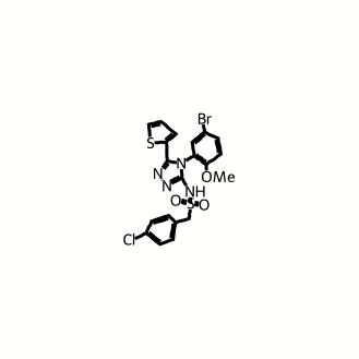 COc1ccc(Br)cc1-n1c(NS(=O)(=O)Cc2ccc(Cl)cc2)nnc1-c1cccs1